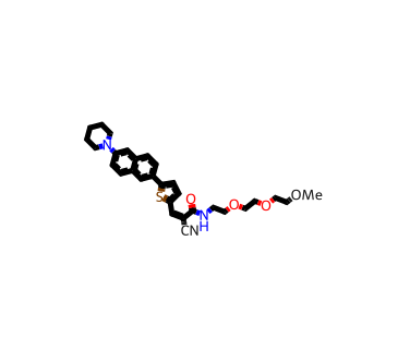 COCCOCCOCCNC(=O)/C(C#N)=C\c1ccc(-c2ccc3cc(N4CCCCC4)ccc3c2)s1